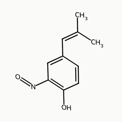 CC(C)=Cc1ccc(O)c(N=O)c1